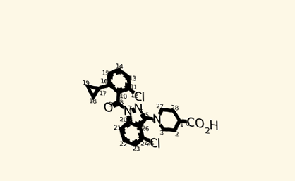 O=C(O)C1CCN(c2nn(C(=O)c3c(Cl)cccc3C3CC3)c3cccc(Cl)c23)CC1